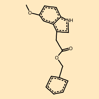 COc1ccc2[nH]cc(CC(=O)OCc3ccccc3)c2c1